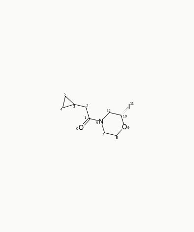 O=C(CC1CC1)N1CCO[C@@H](I)C1